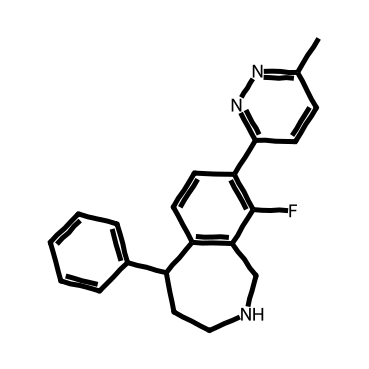 Cc1ccc(-c2ccc3c(c2F)CNCCC3c2ccccc2)nn1